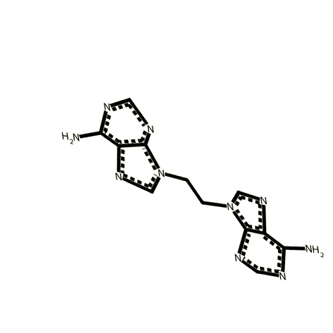 Nc1ncnc2c1ncn2CCn1cnc2c(N)ncnc21